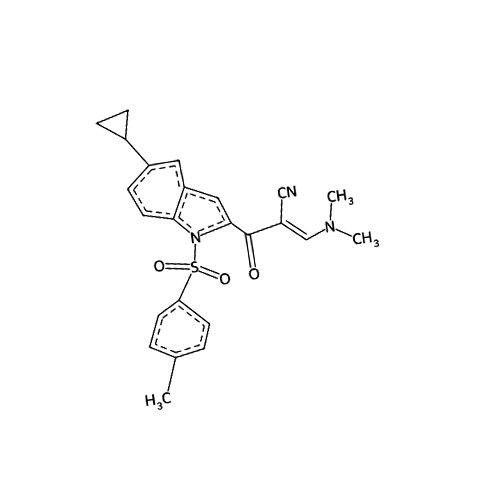 Cc1ccc(S(=O)(=O)n2c(C(=O)C(C#N)=CN(C)C)cc3cc(C4CC4)ccc32)cc1